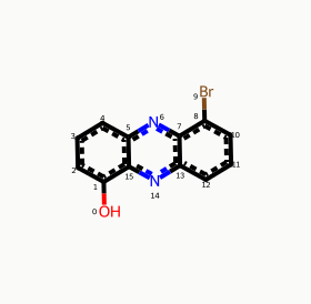 Oc1cccc2nc3c(Br)cccc3nc12